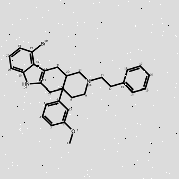 COc1cccc(C23CCN(CCc4ccccc4)CC2Cc2c([nH]c4cccc(Br)c24)C3)c1